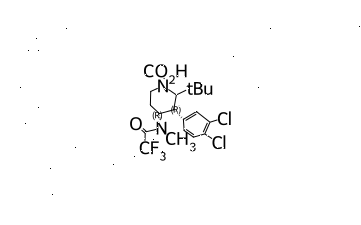 CN(C(=O)C(F)(F)F)[C@@H]1CCN(C(=O)O)C(C(C)(C)C)[C@@H]1c1ccc(Cl)c(Cl)c1